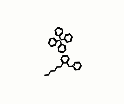 CCCCCCc1ccccc1C[n+]1ccccc1.c1ccc([B-](c2ccccc2)(c2ccccc2)c2ccccc2)cc1